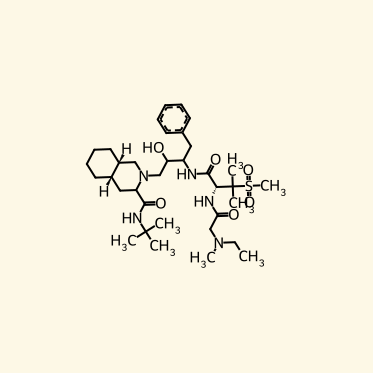 CCN(C)CC(=O)N[C@H](C(=O)NC(Cc1ccccc1)C(O)CN1C[C@H]2CCCC[C@H]2CC1C(=O)NC(C)(C)C)C(C)(C)S(C)(=O)=O